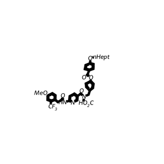 CCCCCCCOc1ccc(C(=O)Oc2ccc(CN(CC(=O)O)C(=O)c3ccc(NC(=O)Cc4ccc(OC)cc4C(F)(F)F)nc3)cc2)cc1